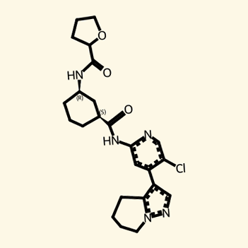 O=C(N[C@@H]1CCC[C@H](C(=O)Nc2cc(-c3cnn4c3CCCC4)c(Cl)cn2)C1)C1CCCO1